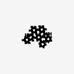 C1=CC2=C(CC1)c1cccc3c1N(c1ccccc12)C(c1cccc(-c2cccc(C4C=Cc5ccccc5N4)c2)c1)N3